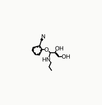 CCCNC(Oc1ccccc1C#N)/C(O)=C/O